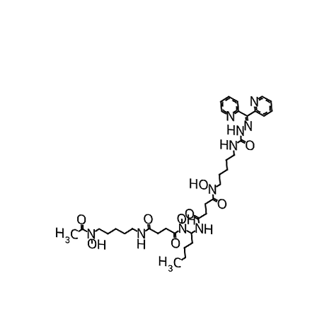 CCCCC(NC(=O)CCC(=O)N(O)CCCCCNC(=O)NN=C(c1ccccn1)c1ccccn1)N(O)C(=O)CCC(=O)NCCCCCN(O)C(C)=O